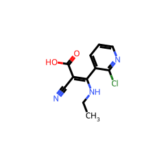 CCNC(=C(C#N)C(=O)O)c1cccnc1Cl